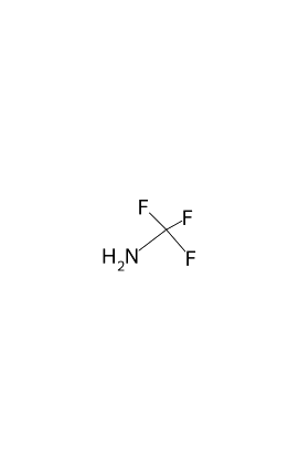 NC(F)(F)F